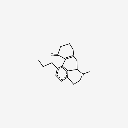 CCCc1ccc2c3c1C1=C(CCCC1=O)CC3N(C)CC2